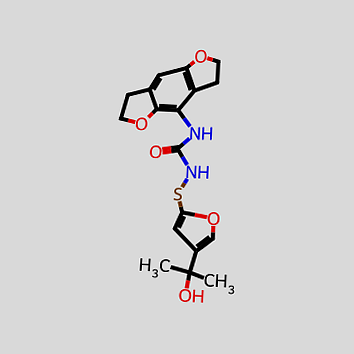 CC(C)(O)c1coc(SNC(=O)Nc2c3c(cc4c2OCC4)OCC3)c1